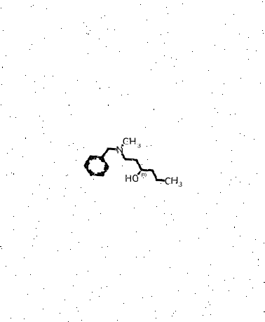 CCC[C@@H](O)CCN(C)Cc1ccccc1